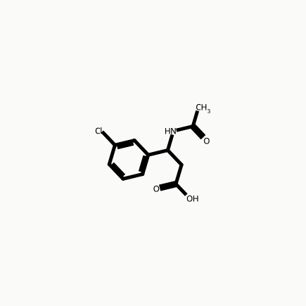 CC(=O)NC(CC(=O)O)c1cccc(Cl)c1